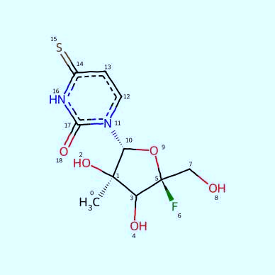 C[C@@]1(O)C(O)[C@@](F)(CO)O[C@H]1n1ccc(=S)[nH]c1=O